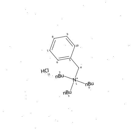 CCCC[N+](CCCC)(CCCC)Cc1ccccc1.Cl